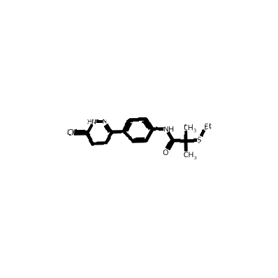 CCSC(C)(C)C(=O)Nc1ccc(C2=NNC(=O)CC2)cc1